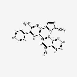 Cn1ccc(-c2nc(N)c(-c3ccccc3)nc2-c2cc(Cl)c3ncccc3c2)n1